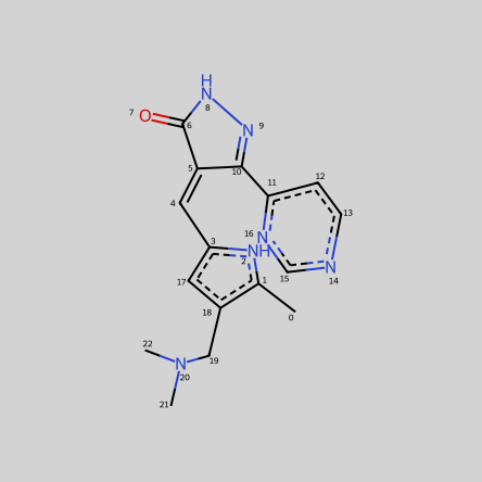 Cc1[nH]c(/C=C2/C(=O)NN=C2c2ccncn2)cc1CN(C)C